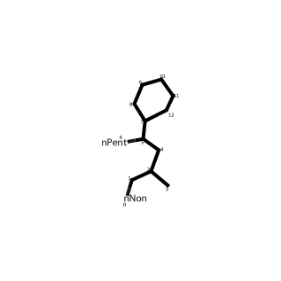 CCCCCCCCCCC(C)CC(CCCCC)[C]1CCCCC1